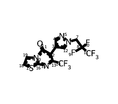 O=c1c(-c2cnn(CC(F)(F)C(F)(F)F)c2)c(C(F)(F)F)nc2sccn12